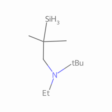 CCN(CC(C)(C)[SiH3])C(C)(C)C